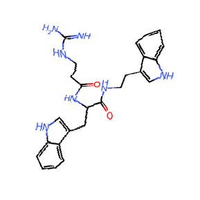 N=C(N)NCCC(=O)NC(Cc1c[nH]c2ccccc12)C(=O)NCCc1c[nH]c2ccccc12